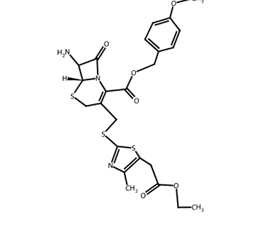 CCOC(=O)Cc1sc(SCC2=C(C(=O)OCc3ccc(OC)cc3)N3C(=O)C(N)[C@H]3SC2)nc1C